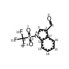 O=Cc1cn(S(=O)(=O)C(F)(F)F)c2ccccc12